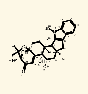 CC1(C)O[C@@]23CC[C@]4(C)[C@@]5(C)c6c(c7ccccc7n6Br)C[C@@H]5C[C@H](O)[C@@]4(O)C2=CC(=O)[C@@H]1O3